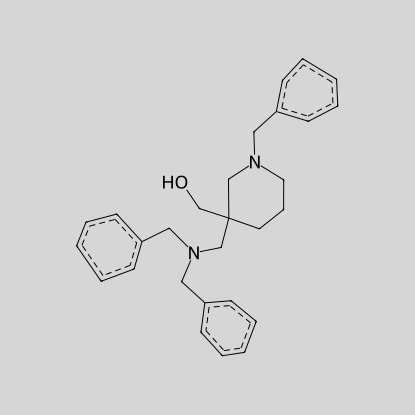 OCC1(CN(Cc2ccccc2)Cc2ccccc2)CCCN(Cc2ccccc2)C1